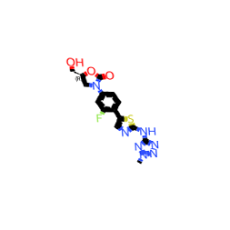 Cn1nnc(Nc2ncc(-c3ccc(N4C[C@H](CO)OC4=O)cc3F)s2)n1